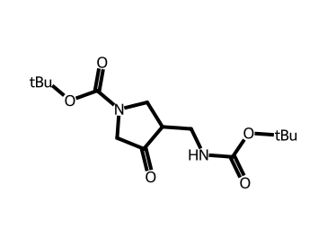 CC(C)(C)OC(=O)NCC1CN(C(=O)OC(C)(C)C)CC1=O